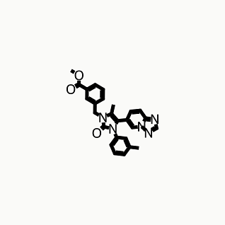 COC(=O)c1cccc(Cn2c(C)c(-c3ccc4ncnn4c3)n(-c3cccc(C)c3)c2=O)c1